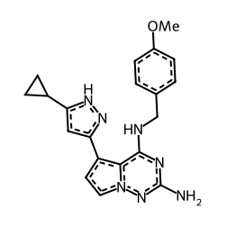 COc1ccc(CNc2nc(N)nn3ccc(-c4cc(C5CC5)[nH]n4)c23)cc1